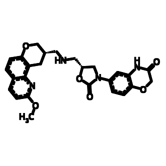 COc1ccc2ccc3c(c2n1)C[C@@H](CNC[C@@H]1CN(c2ccc4c(c2)NC(=O)CO4)C(=O)O1)CO3